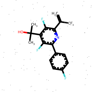 C=C(c1nc(-c2ccc(F)cc2)c(F)c(C(C)(C)O)c1F)C(F)(F)F